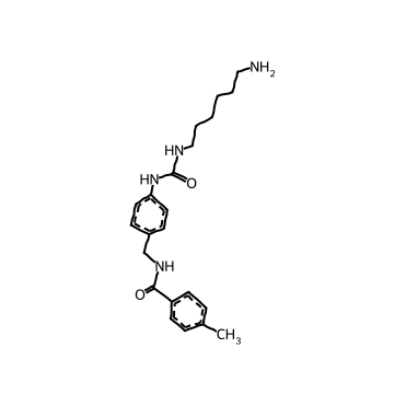 Cc1ccc(C(=O)NCc2ccc(NC(=O)NCCCCCCN)cc2)cc1